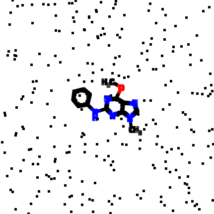 COc1nc(Nc2ccccc2)nc2c1ncn2C